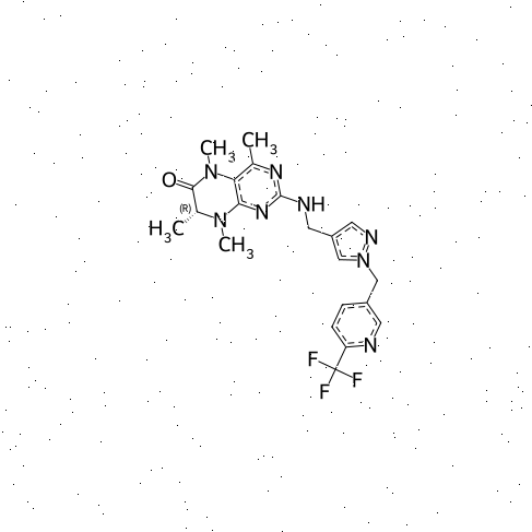 Cc1nc(NCc2cnn(Cc3ccc(C(F)(F)F)nc3)c2)nc2c1N(C)C(=O)[C@@H](C)N2C